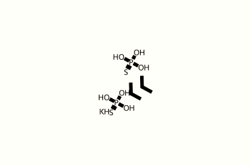 CCC.CCC.OP(O)(O)=S.OP(O)(O)=S.[KH]